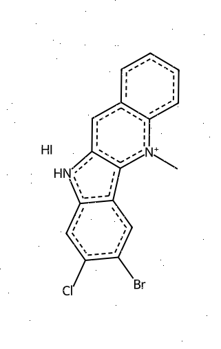 C[n+]1c2ccccc2cc2[nH]c3cc(Cl)c(Br)cc3c21.I